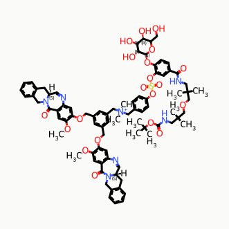 COc1cc2c(cc1OCc1cc(COc3cc4c(cc3OC)C(=O)N3Cc5ccccc5C[C@H]3C=N4)cc(C[N+](C)(C)Cc3ccc(OS(=O)(=O)Oc4cc(C(=O)NCC(C)(C)COCC(C)(C)CNC(=O)OC(C)(C)C)ccc4O[C@@H]4OC(CO)[C@H](O)[C@H](O)[C@H]4O)cc3)c1)N=C[C@@H]1Cc3ccccc3CN1C2=O